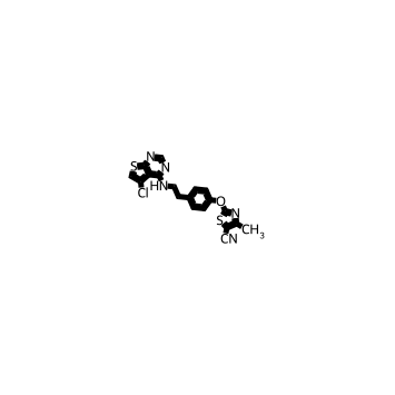 Cc1nc(Oc2ccc(CCNc3ncnc4scc(Cl)c34)cc2)sc1C#N